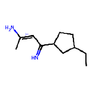 CCC1CCC(C(=N)/C=C(\C)N)C1